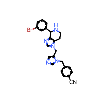 N#Cc1ccc(Cn2cncc2Cn2cnc3c2CCNC3c2cccc(Br)c2)cc1